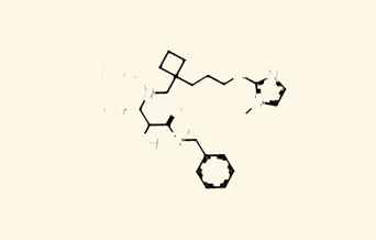 CCCC[C@@H](C(O)C(=O)N[C@H](C)c1ccccc1)N(CC1(CCCSc2nccn2C)CCC1)C(=O)O